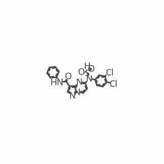 O=C(Nc1ccccc1)c1cnn2ccc(N(c3ccc(Cl)c(Cl)c3)[SH](=O)=O)nc12